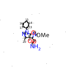 CON=C(C)C1(OC(N)=O)C(=O)N(c2ccccc2)N=C1C